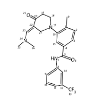 Cc1ccc(C(=O)Nc2cccc(C(F)(F)F)c2)cc1N1CCC(=O)/C(=C/N(C)C)C1